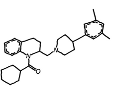 Cc1cc(C)cc(C2CCN(CC3CCc4ccccc4N3C(=O)C3CCCCC3)CC2)c1